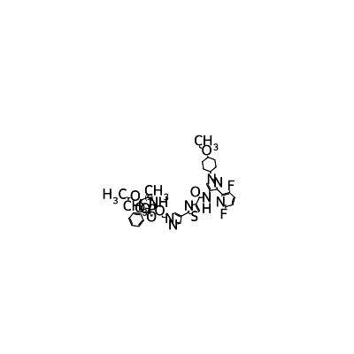 CCO[C@H]1CC[C@H](n2cc(NC(=O)c3csc(-c4cnn(COP(=O)(N[C@@H](C)C(=O)OC(C)C)Oc5ccccc5)c4)n3)c(-c3nc(F)ccc3F)n2)CC1